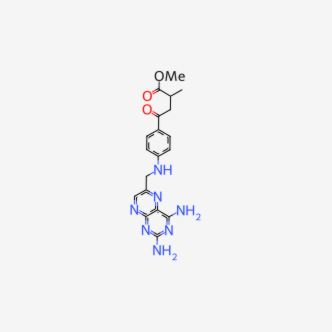 COC(=O)C(C)CC(=O)c1ccc(NCc2cnc3nc(N)nc(N)c3n2)cc1